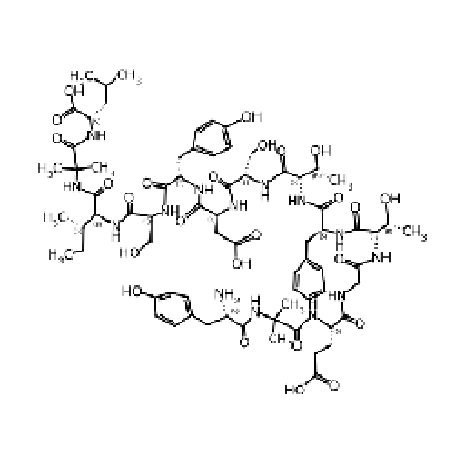 CC[C@H](C)[C@H](NC(=O)[C@H](CO)NC(=O)[C@H](Cc1ccc(O)cc1)NC(=O)[C@H](CC(=O)O)NC(=O)[C@H](CO)NC(=O)[C@@H](NC(=O)[C@H](Cc1ccccc1)NC(=O)[C@@H](NC(=O)CNC(=O)[C@H](CCC(=O)O)NC(=O)C(C)(C)NC(=O)[C@@H](N)Cc1ccc(O)cc1)[C@@H](C)O)[C@@H](C)O)C(=O)NC(C)(C)C(=O)N[C@@H](CC(C)C)C(=O)O